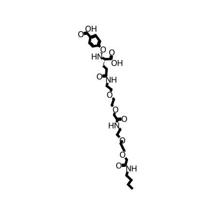 CCCCNC(=O)COCCOCCNC(=O)COCCOCCNC(=O)CC[C@H](NOc1ccc(C(=O)O)cc1)C(=O)O